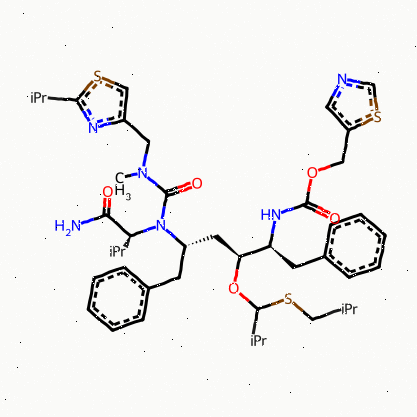 CC(C)CSC(O[C@@H](C[C@H](Cc1ccccc1)N(C(=O)N(C)Cc1csc(C(C)C)n1)[C@H](C(N)=O)C(C)C)[C@H](Cc1ccccc1)NC(=O)OCc1cncs1)C(C)C